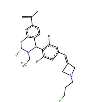 C=C(C)c1ccc2c(c1)C[C@@H](C)N(CC(F)(F)F)C2c1c(F)cc(C=C2CN(CCCF)C2)cc1F